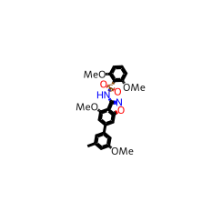 COc1cc(C)cc(-c2cc(OC)c3c(NS(=O)(=O)c4c(OC)cccc4OC)noc3c2)c1